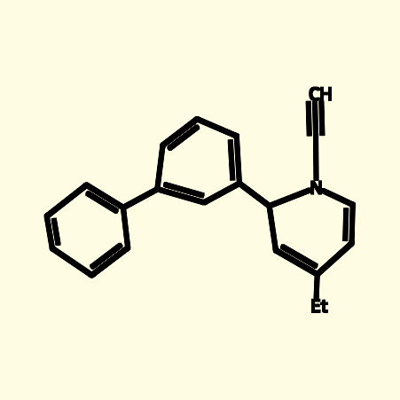 C#CN1C=CC(CC)=CC1c1cccc(-c2ccccc2)c1